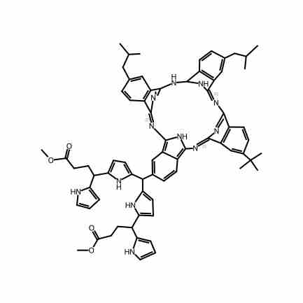 COC(=O)CCC(c1ccc[nH]1)c1ccc(C(c2ccc3c4[nH]c(c3c2)/N=C2\N=C(NC3N/C(=N\C5=NC(=N\4)/c4cc(C(C)(C)C)ccc45)c4cc(CC(C)C)ccc43)c3cc(CC(C)C)ccc32)c2ccc(C(CCC(=O)OC)c3ccc[nH]3)[nH]2)[nH]1